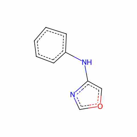 c1ccc(Nc2cocn2)cc1